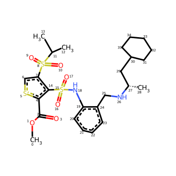 COC(=O)c1scc(S(=O)(=O)C(C)C)c1S(=O)(=O)Nc1ccccc1CN[C@@H](C)CC1CCCCC1